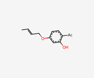 CC=CCOc1ccc(C(C)=O)c(O)c1